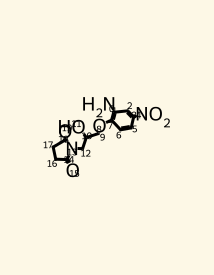 Nc1cc([N+](=O)[O-])ccc1OCC(O)CN1C(=O)CCC1=O